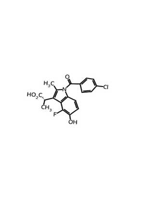 Cc1c([C@H](C)C(=O)O)c2c(F)c(O)ccc2n1C(=O)c1ccc(Cl)cc1